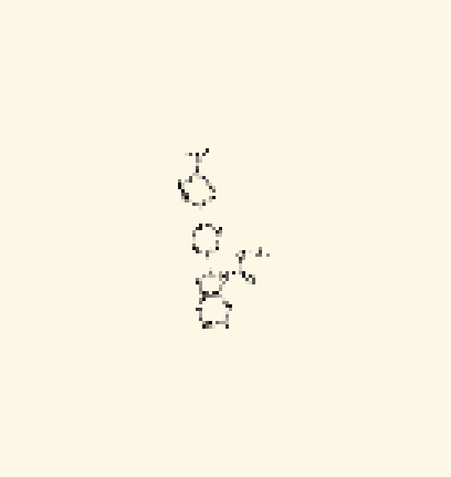 CN(C)c1ccc(-c2ccc(-c3cc4ccncc4n3C(=O)OC(C)(C)C)cc2)cn1